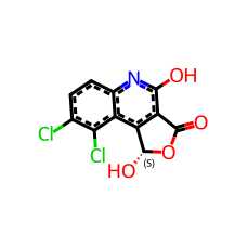 O=C1O[C@H](O)c2c1c(O)nc1ccc(Cl)c(Cl)c21